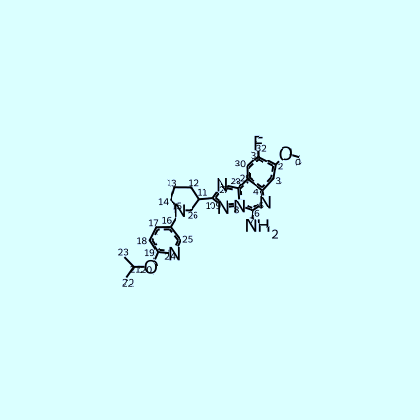 COc1cc2nc(N)n3nc(C4CCCN(c5ccc(OC(C)C)nc5)C4)nc3c2cc1F